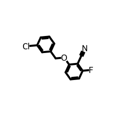 N#Cc1c(F)cccc1OCc1cccc(Cl)c1